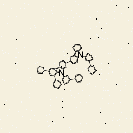 c1ccc(-c2cccc(-n3c4ccccc4c4cc(-c5ccc6c7cc(-c8ccccc8)cc(-c8ccccc8)c7n(-c7cccc(-c8ccccc8)c7)c6c5)ccc43)c2)cc1